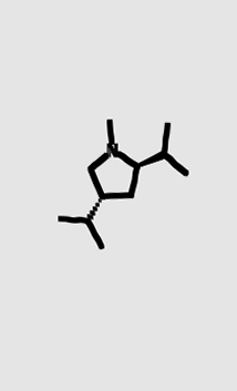 CC(C)[C@H]1C[C@H](C(C)C)N(C)C1